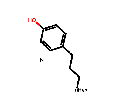 CCCCCCCCCc1ccc(O)cc1.[Ni]